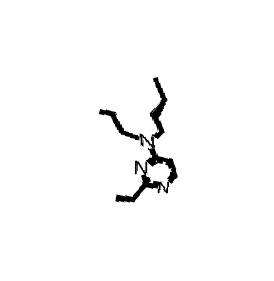 CCCCN(CCC)c1ccnc(CC)n1